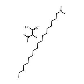 CC(C(=O)O)N(C)C.CCCCCCCCCCCCCCCCCCN(C)C